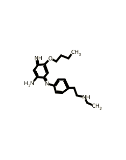 CCCCOC1=CC(=Nc2ccc(CCNCC)cc2)C(N)=CC1=N